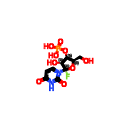 O=c1ccn([C@]2(F)O[C@H](CO)[C@@H](OP(=O)(O)O)[C@H]2O)c(=O)[nH]1